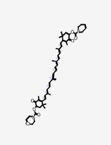 CC1=C(/C=C/C(C)=C/C=C/C(C)=C/C=C/C=C(C)/C=C/C=C(C)/C=C/C2=C(C)C(=O)C(OC(=O)N3CCOCC3)CC2(C)C)C(C)(C)CC(OC(=O)N2CCCCC2)C1=O